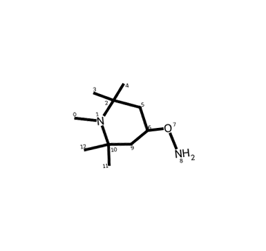 CN1C(C)(C)CC(ON)CC1(C)C